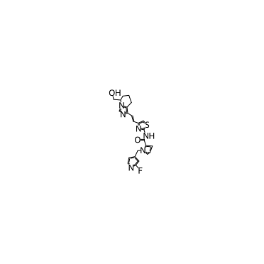 O=C(Nc1nc(/C=C/c2ncn3c2CCCC3CO)cs1)c1cccn1Cc1ccnc(F)c1